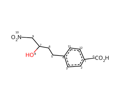 O=C(O)c1ccc(CCC(O)C[N+](=O)[O-])cc1